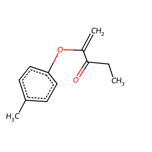 C=C(Oc1ccc(C)cc1)C(=O)CC